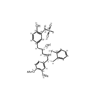 COc1ccc([C@@H](Cc2ccccc2F)NC[C@@H](O)Cc2ccc(O)c(NS(C)(=O)=O)c2)cc1OC